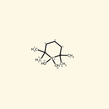 CC1(C)CCCC(C)(C)[N+]1(O)O